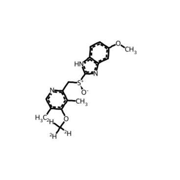 [2H]C([2H])([2H])Oc1c(C)cnc(C[S@+]([O-])c2nc3cc(OC)ccc3[nH]2)c1C